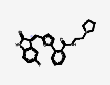 O=C1Nc2ccc(F)cc2/C1=C\c1ccc(-c2ccccc2C(=O)NCCN2CCCC2)o1